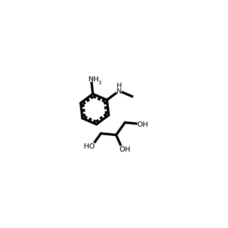 CNc1ccccc1N.OCC(O)CO